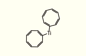 C1=CC=C[C]([Ti][C]2=CC=CC=CC=C2)=CC=C1